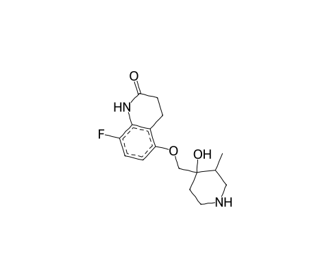 CC1CNCCC1(O)COc1ccc(F)c2c1CCC(=O)N2